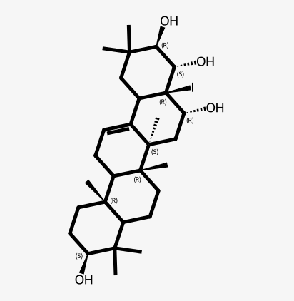 CC1(C)CC2C3=CCC4[C@@]5(C)CC[C@H](O)C(C)(C)C5CC[C@@]4(C)[C@]3(C)C[C@@H](O)[C@@]2(I)[C@@H](O)[C@@H]1O